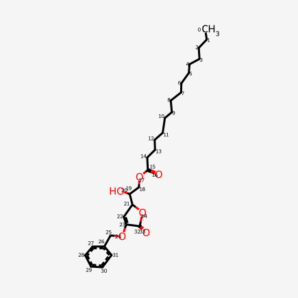 CCCCCCCCCCCCCCCC(=O)OCC(O)C1C=C(OCc2ccccc2)C(=O)O1